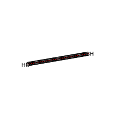 B=BB=BB=BB=BB=BB=BB=BB=BB=BB=BB=BB=BB=BB=BB=BB=BB=BB=BB=BB=BB=BB=BB=BB=BB=BB=BB=BB=BB=BB=BB=BB=BB=BOO